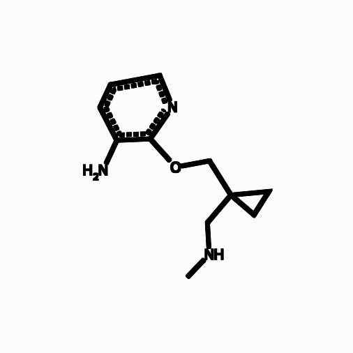 CNCC1(COc2ncccc2N)CC1